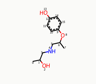 CC(O)CNCC(C)Oc1ccc(O)cc1